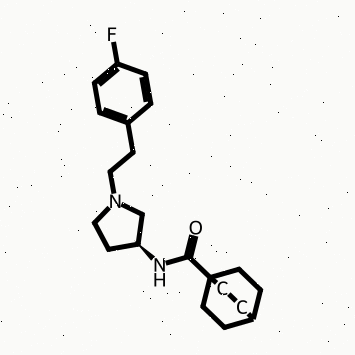 O=C(N[C@H]1CCN(CCc2ccc(F)cc2)C1)C12CCC(CC1)CC2